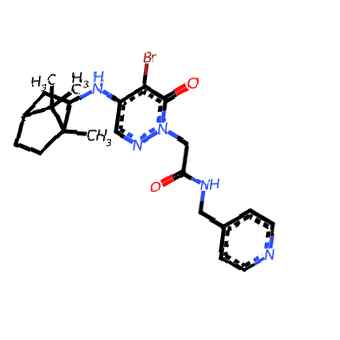 CC1(C)C2CCC1(C)C(Nc1cnn(CC(=O)NCc3ccncc3)c(=O)c1Br)C2